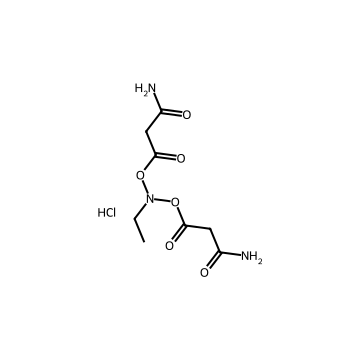 CCN(OC(=O)CC(N)=O)OC(=O)CC(N)=O.Cl